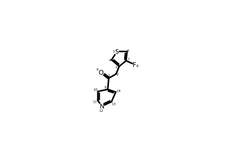 O=C(Cc1cscc1F)c1ccncc1